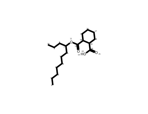 CCCCCCCC(CCC)OC(=O)C1CCCCC1C(=O)O